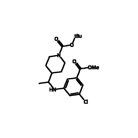 COC(=O)c1cc(Cl)cc(NC(C)C2CCN(C(=O)OC(C)(C)C)CC2)c1